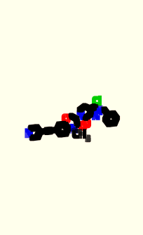 CN1C(=O)[C@@H](N2CCc3c(nn(Cc4ccccc4)c3Cl)C2=O)COc2cc(C#Cc3ccncc3)ccc21